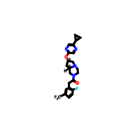 O=C(Cc1cc(C(F)(F)F)ccc1F)N1CCN2C[C@H](Oc3cnc(C4CC4)cn3)C[C@H]2C1